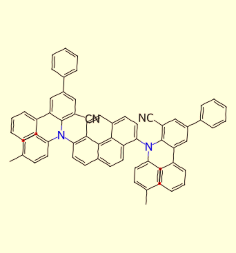 Cc1ccc(N(c2c(C#N)cc(-c3ccccc3)cc2-c2ccccc2)c2ccc3ccc4c(N(c5ccc(C)cc5)c5c(C#N)cc(-c6ccccc6)cc5-c5ccccc5)ccc5ccc2c3c54)cc1